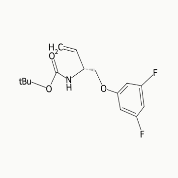 C=C[C@H](COc1cc(F)cc(F)c1)NC(=O)OC(C)(C)C